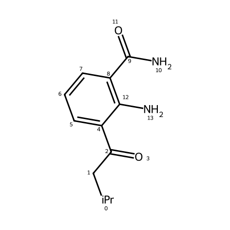 CC(C)CC(=O)c1cccc(C(N)=O)c1N